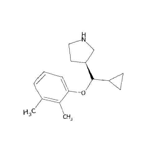 Cc1cccc(OC(C2CC2)[C@H]2CCNC2)c1C